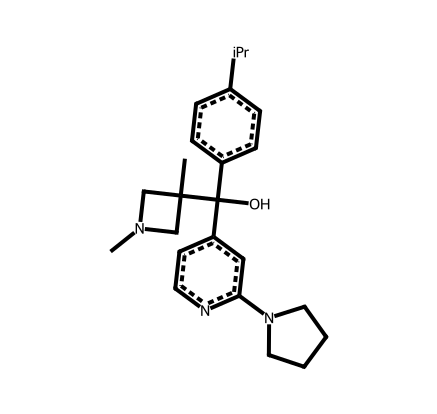 CC(C)c1ccc(C(O)(c2ccnc(N3CCCC3)c2)C2(C)CN(C)C2)cc1